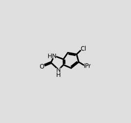 CC(C)c1cc2[nH]c(=O)[nH]c2cc1Cl